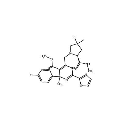 CNC(=O)[C@@H]1CC(F)(F)CN1CC1=C(C(=O)OC)C(C)(c2ccc(F)cc2)N=C(c2nccs2)N1